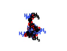 CCN/C(=C\C(C)=N)C(=O)/N=c1\[nH]c2cc(C(N)=O)cc(OC)c2n1C/C=C/Cn1/c(=N/C(=O)c2cc(C)nn2CC)[nH]c2cc(C(N)=O)cc(OCCCN3CCN(C(=O)OCc4ccc(NC(=O)[C@@H](N)C(C)C)cc4)CC3)c21